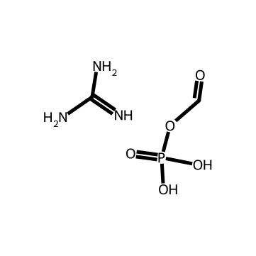 N=C(N)N.O=COP(=O)(O)O